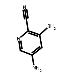 Bc1cc(N)cnc1C#N